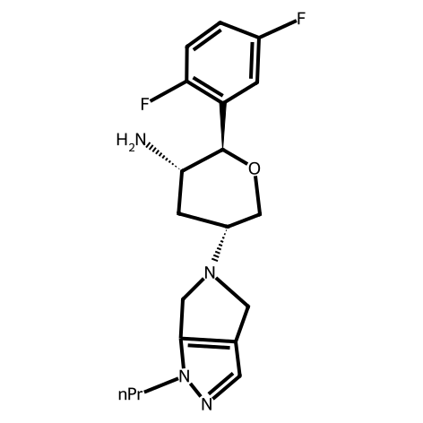 CCCn1ncc2c1CN([C@H]1CO[C@H](c3cc(F)ccc3F)[C@@H](N)C1)C2